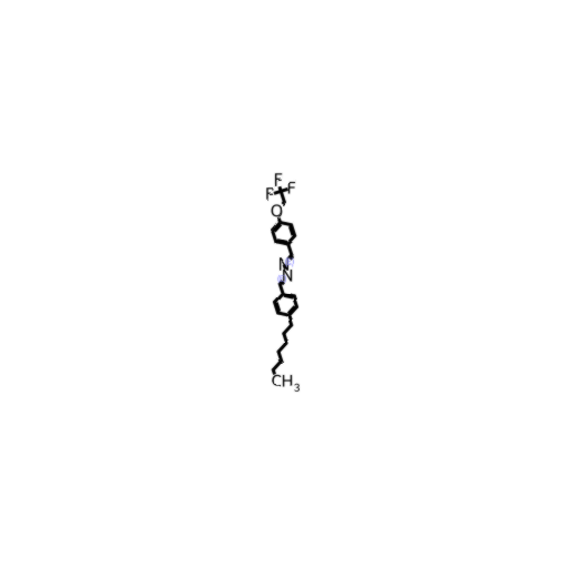 CCCCCCCc1ccc(/C=N/N=C/c2ccc(OCC(F)(F)F)cc2)cc1